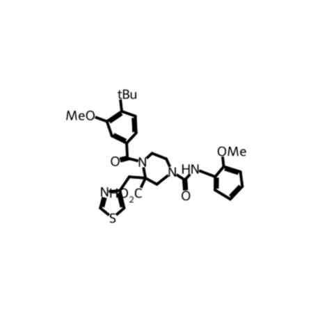 COc1ccccc1NC(=O)N1CCN(C(=O)c2ccc(C(C)(C)C)c(OC)c2)C(Cc2cscn2)(C(=O)O)C1